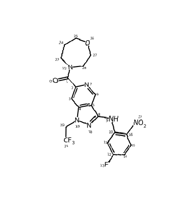 O=C(c1cc2c(cn1)c(Nc1cc(F)ccc1[N+](=O)[O-])nn2CC(F)(F)F)N1CCCOCC1